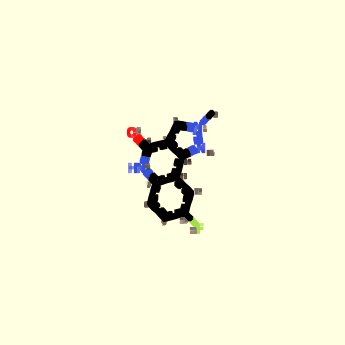 Cn1cc2c(=O)[nH]c3ccc(F)cc3c2n1